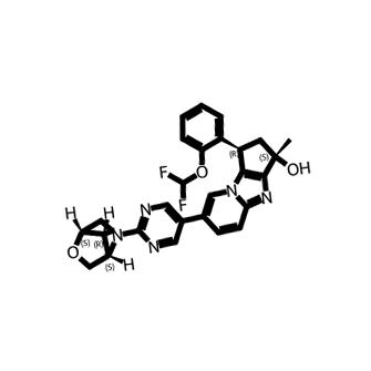 C[C@@H]1[C@H]2CO[C@@H]1CN2c1ncc(-c2ccc3nc4c(n3c2)[C@@H](c2ccccc2OC(F)F)C[C@]4(C)O)cn1